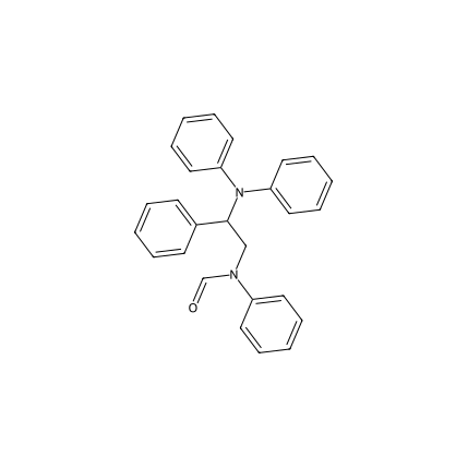 O=CN(CC(c1ccccc1)N(c1ccccc1)c1ccccc1)c1ccccc1